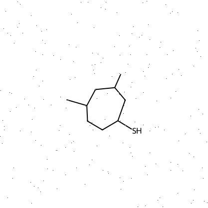 CC1CCC(S)CC(C)C1